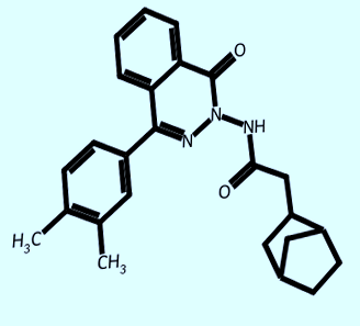 Cc1ccc(-c2nn(NC(=O)CC3CC4CCC3C4)c(=O)c3ccccc23)cc1C